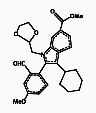 COC(=O)c1ccc2c(C3CCCCC3)c(-c3ccc(OC)cc3C=O)n(CC3OCCO3)c2c1